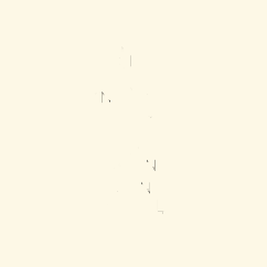 CCn1nc(-c2ccc(C(F)(F)F)nc2)cc1C